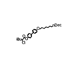 CCCCCCCCCCCCCCCCCOc1ccc(-c2ccc(OC(=O)C(Cl)C(C)CC)cc2)cc1